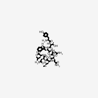 CSCC[C@H](NC(=O)[C@H](CCC(N)=O)NC(=O)[C@H](CC(N)=O)NC(=O)[C@H](Cc1c[nH]c2ccccc12)NC(=O)[C@@H](NC(=O)[C@@H](N)Cc1ccc(O)cc1)[C@@H](C)O)C(=O)N[C@@H](CC(N)=O)C(=O)N[C@@H](CC(C)C)C(=O)O